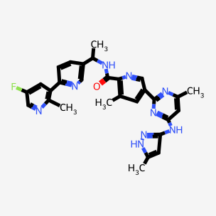 Cc1cc(Nc2cc(C)[nH]n2)nc(-c2cnc(C(=O)NC(C)c3ccc(-c4cc(F)cnc4C)nc3)c(C)c2)n1